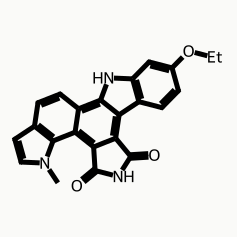 CCOc1ccc2c(c1)[nH]c1c3ccc4ccn(C)c4c3c3c(c21)C(=O)NC3=O